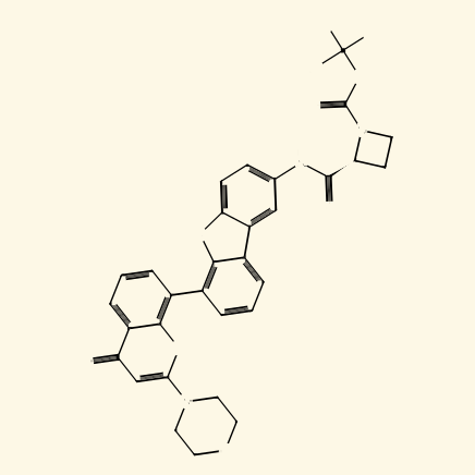 CC(C)(C)OC(=O)N1CC[C@H]1C(=O)Nc1ccc2sc3c(-c4cccc5c(=O)cc(N6CCOCC6)oc45)cccc3c2c1